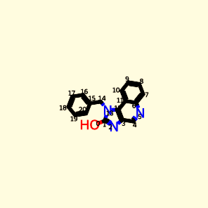 Oc1nc2cnc3ccccc3c2n1Cc1ccccc1